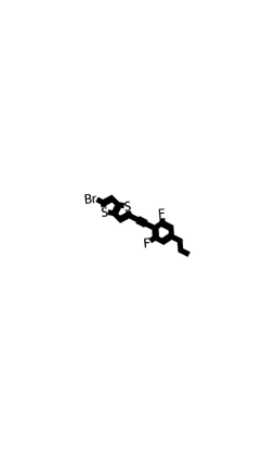 CCCc1cc(F)c(C#Cc2cc3sc(Br)cc3s2)c(F)c1